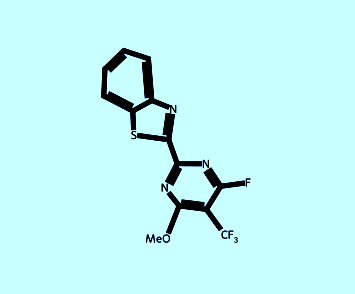 COc1nc(-c2nc3ccccc3s2)nc(F)c1C(F)(F)F